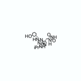 CC(C)Nc1nc(NCc2cccc(O)c2)nc2c(/C=C3\NC(=O)NC3=O)cnn12